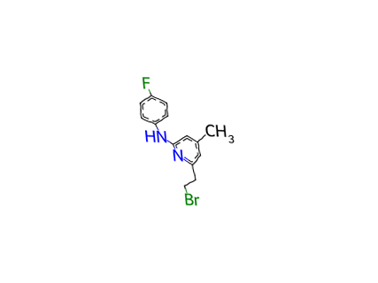 Cc1cc(CCBr)nc(Nc2ccc(F)cc2)c1